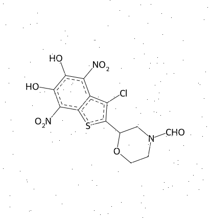 O=CN1CCOC(c2sc3c([N+](=O)[O-])c(O)c(O)c([N+](=O)[O-])c3c2Cl)C1